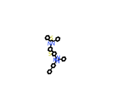 c1ccc(-c2ccc(-c3nc(-c4ccccc4)nc(-c4ccc5c(c4)sc4ccc(-c6nc(-c7ccccc7)c7sc8ccccc8c7n6)cc45)n3)cc2)cc1